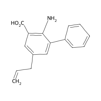 C=CCc1cc(C(=O)O)c(N)c(-c2ccccc2)c1